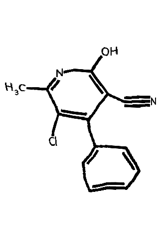 Cc1nc(O)c(C#N)c(-c2ccccc2)c1Cl